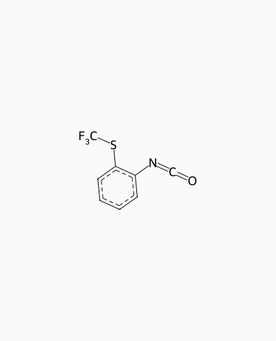 O=C=Nc1ccccc1SC(F)(F)F